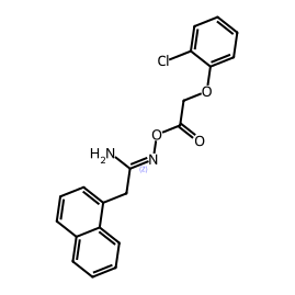 N/C(Cc1cccc2ccccc12)=N\OC(=O)COc1ccccc1Cl